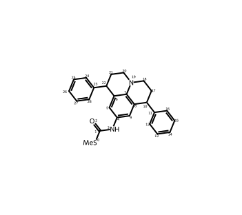 CSC(=O)Nc1cc2c3c(c1)C(c1ccccc1)CCN3CCC2c1ccccc1